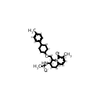 Cc1ccc(C2CCC(OCC3C(N[S+](C)[O-])CCc4ccc(C)c(=O)n43)CC2)cc1